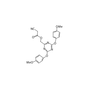 COc1ccc(Oc2nc(COC(=O)CC#N)nc(Oc3ccc(OC)cc3)n2)cc1